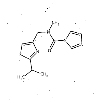 CC(C)c1nc(CN(C)C(=O)n2ccnc2)cs1